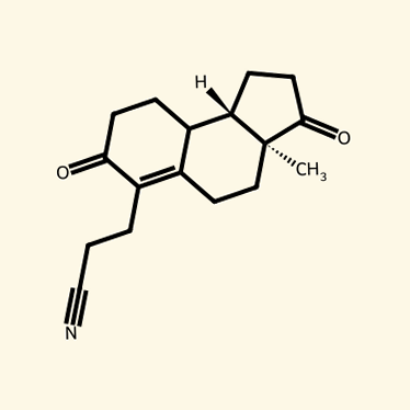 C[C@]12CCC3=C(CCC#N)C(=O)CCC3[C@@H]1CCC2=O